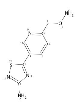 NOCc1ccc(-c2nc(N)ns2)cn1